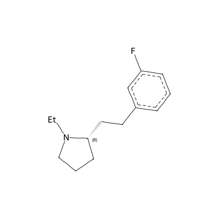 CCN1CCC[C@H]1CCc1cccc(F)c1